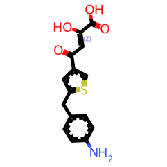 Nc1ccc(Cc2cc(C(=O)/C=C(\O)C(=O)O)cs2)cc1